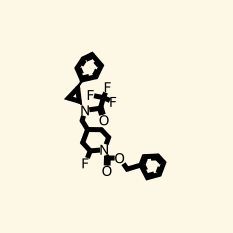 O=C(OCc1ccccc1)N1CCC(CN(C(=O)C(F)(F)F)[C@@H]2C[C@H]2c2ccccc2)CC1F